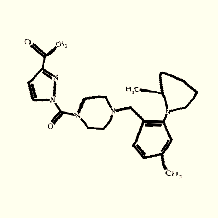 CC(=O)c1ccn(C(=O)N2CCN(Cc3ccc(C)cc3N3CCCC[C@@H]3C)CC2)n1